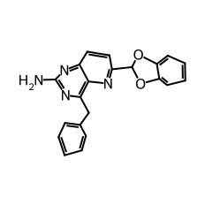 Nc1nc(Cc2ccccc2)c2nc(C3Oc4ccccc4O3)ccc2n1